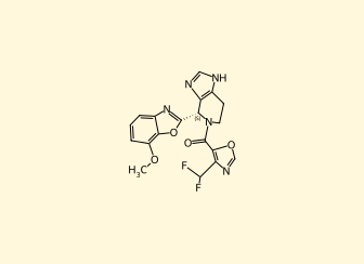 COc1cccc2nc([C@@H]3c4nc[nH]c4CCN3C(=O)c3ocnc3C(F)F)oc12